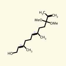 C=C(C)C(CC/C(C)=C/CC/C(C)=C/CO)(OC)OC